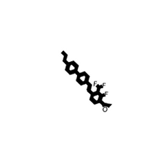 CCCc1ccc(-c2ccc(/C=C/c3ccc(C4CO4)c(F)c3C(F)F)cc2)cc1